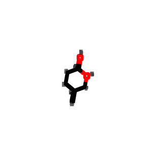 C=C1CCC(=O)OC1